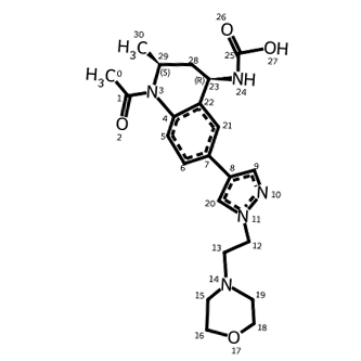 CC(=O)N1c2ccc(-c3cnn(CCN4CCOCC4)c3)cc2[C@H](NC(=O)O)C[C@@H]1C